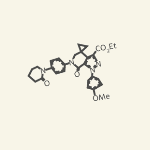 CCOC(=O)c1nn(-c2ccc(OC)cc2)c2c1C1(CC1)CN(c1ccc(N3CCCCC3=O)cc1)C2=O